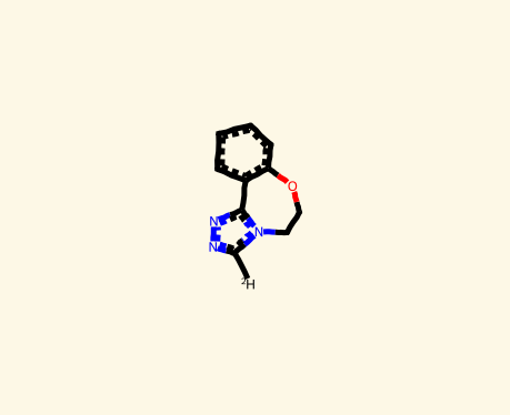 [2H]c1nnc2n1CCOc1ccccc1-2